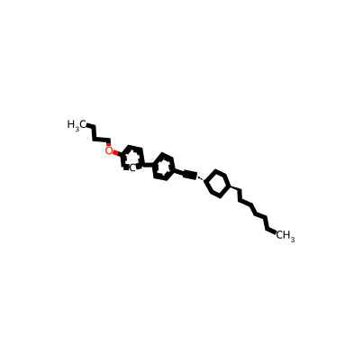 CCCCCCC[C@H]1CC[C@H](C#Cc2ccc(-c3ccc(OCCCC)cc3)cc2)CC1